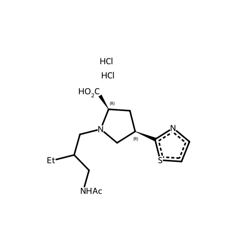 CCC(CNC(C)=O)CN1C[C@H](c2nccs2)C[C@@H]1C(=O)O.Cl.Cl